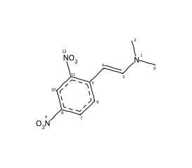 CN(C)/C=C/c1ccc([N+](=O)[O-])cc1[N+](=O)[O-]